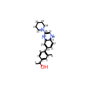 Cc1cc(C(C)O)ccc1-c1ccc2ncc(N3CCCCC3)nc2c1